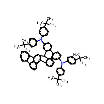 CC(C)(C)c1ccc(N(c2ccc(-c3ccc(N(c4ccc(C(C)(C)C)cc4)c4ccc(C(C)(C)C)cc4)cc3C3c4ccccc4-c4c3cc3c5c(cccc45)-c4ccccc4-3)cc2)c2ccc(C(C)(C)C)cc2)cc1